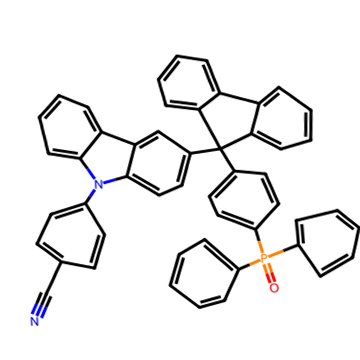 N#Cc1ccc(-n2c3ccccc3c3cc(C4(c5ccc(P(=O)(c6ccccc6)c6ccccc6)cc5)c5ccccc5-c5ccccc54)ccc32)cc1